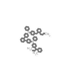 C=C/C=C\C1=C(Cc2ccc(N(c3ccccc3)c3ccc(-c4ccccc4-c4ccc(N(c5ccccc5)c5ccc(C(/C=C\C)=c6\ccccc6=C)cc5)cc4)cc3)cc2)C=CCC1